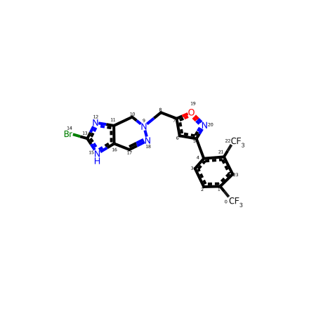 FC(F)(F)c1ccc(-c2cc(CN3Cc4nc(Br)[nH]c4C=N3)on2)c(C(F)(F)F)c1